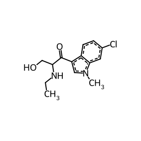 CCNC(CO)C(=O)c1cn(C)c2cc(Cl)ccc12